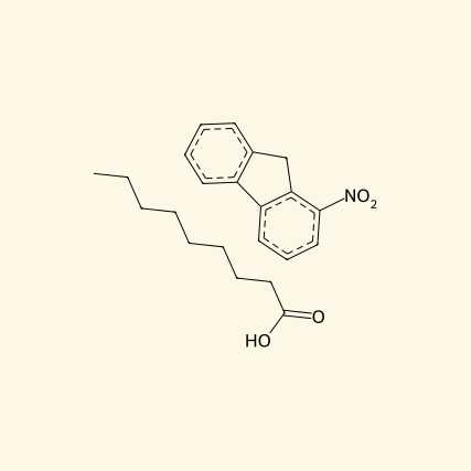 CCCCCCCCC(=O)O.O=[N+]([O-])c1cccc2c1Cc1ccccc1-2